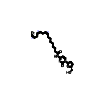 CC/C=C\C/C=C\C/C=C\CCCCCCCC(=O)Nc1ccn(C2CC[C@@H](CO)O2)c(=O)n1